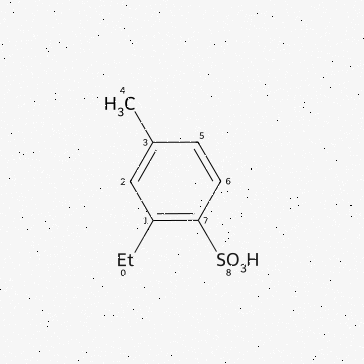 CCc1cc(C)ccc1S(=O)(=O)O